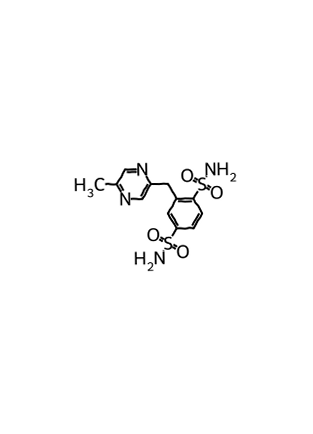 Cc1cnc(Cc2cc(S(N)(=O)=O)ccc2S(N)(=O)=O)cn1